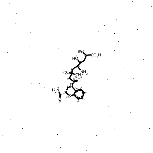 CC(C)C(CC(O)C(N)CC(C)(C)CC(=O)N1C[C@@H](C(N)=O)Sc2ccccc21)C(=O)O